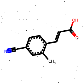 Cc1cc(C#N)ccc1C=CC(=O)O